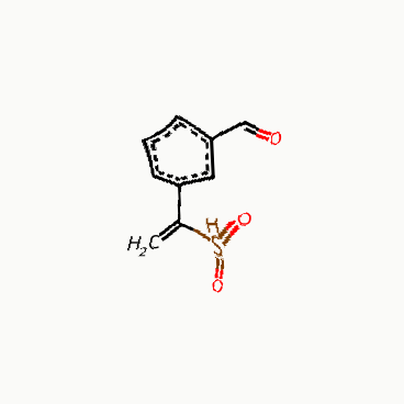 C=C(c1cccc(C=O)c1)[SH](=O)=O